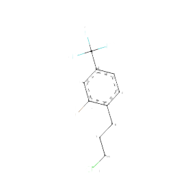 FC(F)(F)c1ccc(CCCCl)c(Br)c1